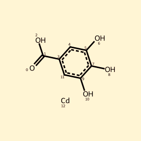 O=C(O)c1cc(O)c(O)c(O)c1.[Cd]